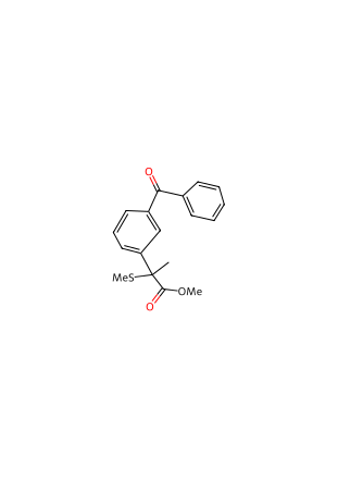 COC(=O)C(C)(SC)c1cccc(C(=O)c2ccccc2)c1